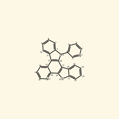 c1cncc(-n2c3ccccc3c3c4cccnc4c4sc5ccccc5c4c32)c1